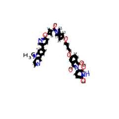 Cn1c2ccncc2c2ccc(-c3ccc(O[C@H]4C[C@@H](C(=O)N5CC6(CC(OCCCCOc7ccc8c(c7)C(=O)N(C7CCC(=O)NC7=O)C8=O)C6)C5)C4)nc3)cc21